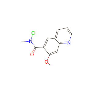 COc1cc2ncccc2cc1C(=O)N(C)Cl